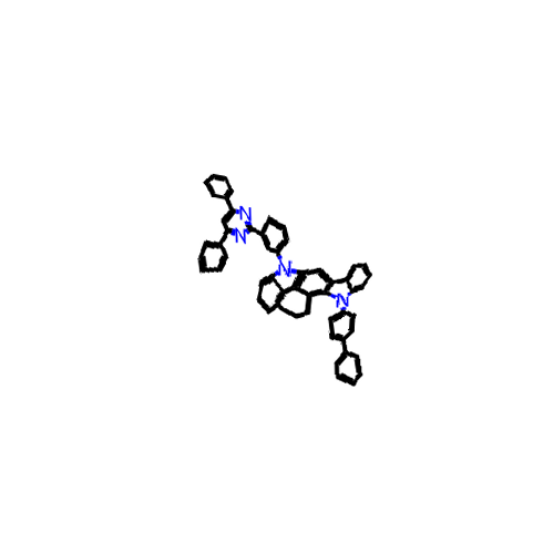 c1ccc(-c2ccc(-n3c4ccccc4c4cc5c6c(c43)CCc3cccc(c36)n5-c3cccc(-c4nc(-c5ccccc5)cc(-c5ccccc5)n4)c3)cc2)cc1